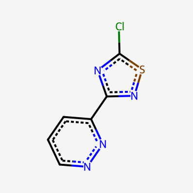 Clc1nc(-c2cccnn2)ns1